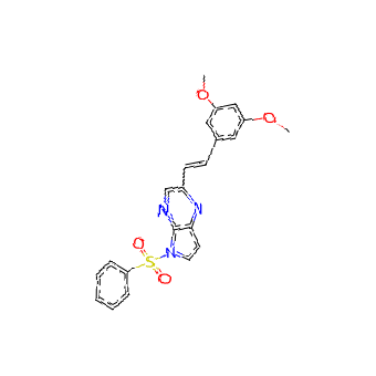 COc1cc(C=Cc2cnc3c(ccn3S(=O)(=O)c3ccccc3)n2)cc(OC)c1